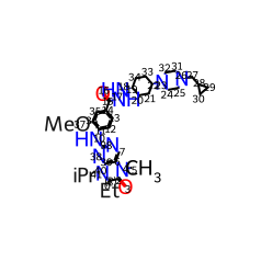 CC[C@@H]1C(=O)N(C)c2cnc(Nc3ccc(C(=O)NN[C@H]4CC[C@H](N5CCN(CC6CC6)CC5)CC4)cc3OC)nc2N1C(C)C